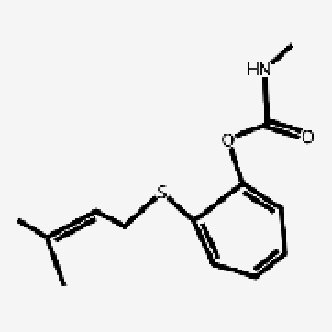 CNC(=O)Oc1ccccc1SCC=C(C)C